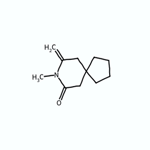 C=C1CC2(CCCC2)CC(=O)N1C